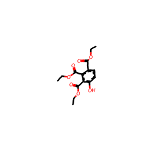 CCOC(=O)c1ccc(O)c(C(=O)OCC)c1C(=O)OCC